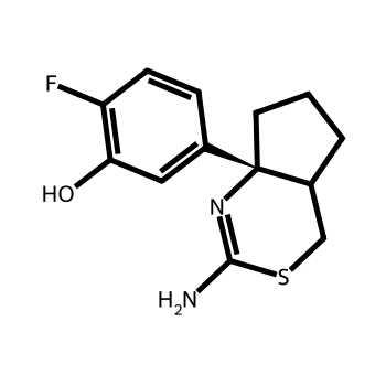 NC1=N[C@]2(c3ccc(F)c(O)c3)CCCC2CS1